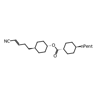 CCCCC[C@H]1CC[C@H](C(=O)O[C@H]2CC[C@H](CCC=CC#N)CC2)CC1